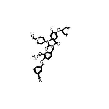 COc1cc(Cn2c(=O)c3cc(OC(CF)CF)c(F)cc3n(C3CCN(C=O)CC3)c2=O)ccc1OCc1cccc(C#N)c1